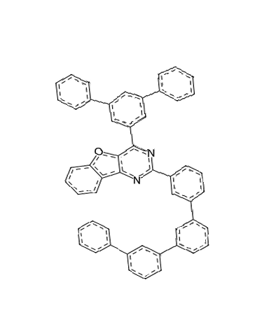 c1ccc(-c2cccc(-c3cccc(-c4cccc(-c5nc(-c6cc(-c7ccccc7)cc(-c7ccccc7)c6)c6oc7ccccc7c6n5)c4)c3)c2)cc1